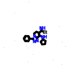 CCC(=N)C1=C(NC2CCCC2)c2nnc(-c3ccccc3)n2CC1